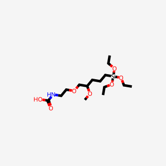 CCO[Si](CCCC(COCCNC(=O)O)OC)(OCC)OCC